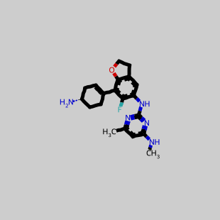 CNc1cc(C)nc(Nc2cc3c(c(C4=CC[C@@H](N)CC4)c2F)OCC3)n1